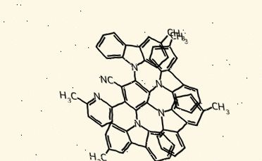 Cc1ccc2c(c1)c1ccccc1n2-c1c(C#N)c(-c2cccc(C)n2)c(-n2c3ccccc3c3cc(C)ccc32)c(-n2c3ccccc3c3cc(C)ccc32)c1-n1c2ccccc2c2cc(C)ccc21